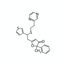 CC1(c2ccccc2)OC(CC(SCCc2cnccn2)c2ccsc2)=CC1=O